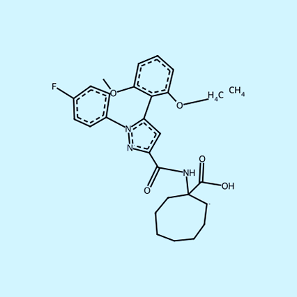 C.C.COc1cccc(OC)c1-c1cc(C(=O)NC2(C(=O)O)[CH]CCCCCC2)nn1-c1ccc(F)cc1